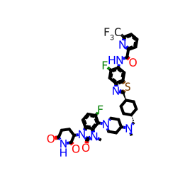 CN(C[C@H]1CC[C@H](c2nc3cc(F)c(NC(=O)c4cccc(C(F)(F)F)n4)cc3s2)CC1)C1CCN(c2c(F)ccc3c2n(C)c(=O)n3C2CCC(=O)NC2=O)CC1